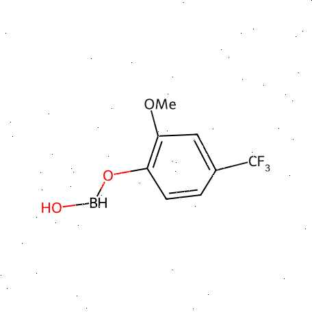 COc1cc(C(F)(F)F)ccc1OBO